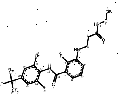 CC(C)(C)ONC(=O)CCNc1cccc(C(=O)Nc2c(Br)cc(C(F)(C(F)(F)F)C(F)(F)F)cc2Br)c1F